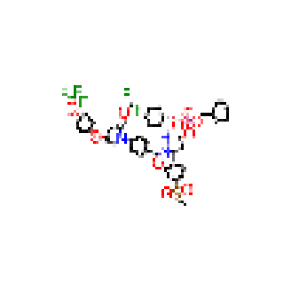 CCS(=O)(=O)c1ccc(C(CCOP(=O)(OCc2ccccc2)OCc2ccccc2)NC(=O)c2ccc(N3C[C@@H](Oc4ccc(OC(F)(F)F)cc4)C[C@H]3COC(F)F)cc2)cc1